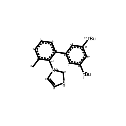 Cc1cccc(-c2cc(C(C)(C)C)cc(C(C)(C)C)c2)c1N1[C]SC=C1